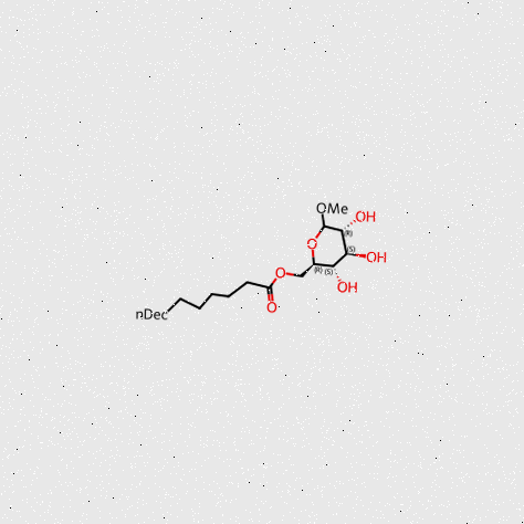 CCCCCCCCCCCCCCCC(=O)OC[C@H]1OC(OC)[C@H](O)[C@@H](O)[C@@H]1O